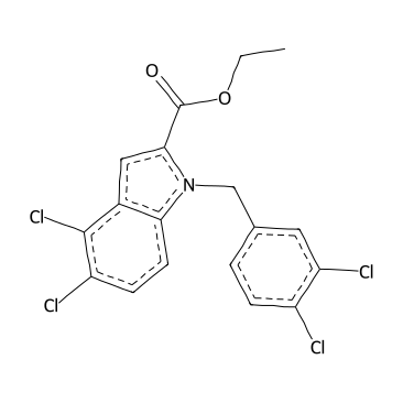 CCOC(=O)c1cc2c(Cl)c(Cl)ccc2n1Cc1ccc(Cl)c(Cl)c1